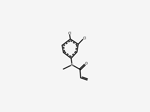 C=CC(=O)N(C)c1ccc(Cl)c(Cl)c1